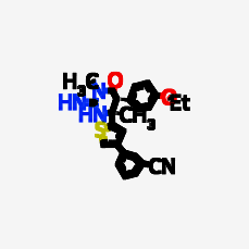 CCOc1ccc([C@H]2C(=O)N(C)C(=N)N[C@]2(C)c2cc(-c3cccc(C#N)c3)cs2)cc1